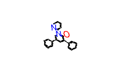 O=c1c(-c2ccccc2)cc(-c2ccccc2)cn1-c1ccccn1